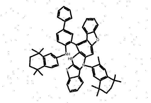 Cc1cc2c(cc1N1c3cc4oc5ccccc5c4c(-c4cc(-c5ccccc5)ccc4Nc4ccc5c(c4)C(C)(C)CCC5(C)C)c3Bc3sc4ccccc4c31)C(C)(C)CCC2(C)C